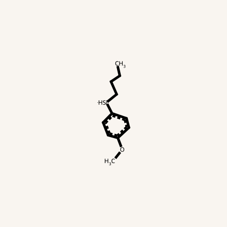 CCCC[SiH]c1ccc(OC)cc1